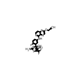 C#CCOc1cnc2c(Nc3ccc(F)c([C@@]4(C)N=C(N)SC5([C@H](C)O)[C@H]4C5(F)F)c3)nccc2n1